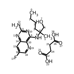 CCCCC(C)(CO)Nc1nc(N)nc2cc(F)cnc12.O=C(O)CCC(=O)O